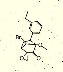 CCc1cccc(C2CC3C(Br)=CC2(OC)C(=O)[C@]32CO2)c1